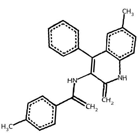 C=C1Nc2ccc(C)cc2C(c2ccccc2)=C1NC(=C)c1ccc(C)cc1